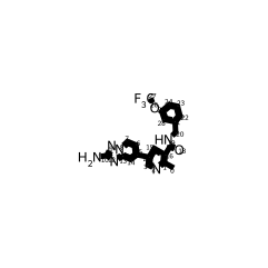 Cc1ncc(-c2ccn3nc(N)nc3c2)cc1C(=O)NCc1cccc(OC(F)(F)F)c1